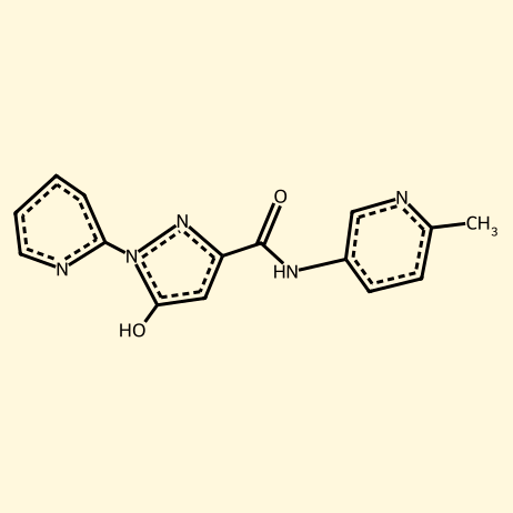 Cc1ccc(NC(=O)c2cc(O)n(-c3ccccn3)n2)cn1